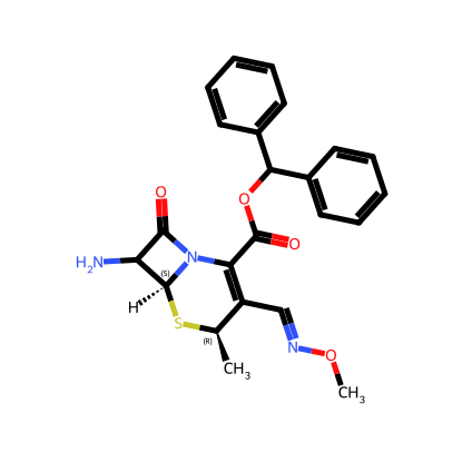 CON=CC1=C(C(=O)OC(c2ccccc2)c2ccccc2)N2C(=O)C(N)[C@@H]2S[C@@H]1C